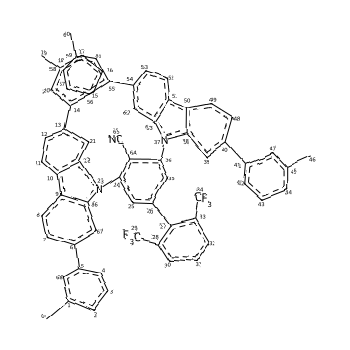 Cc1cccc(-c2ccc3c4ccc(-c5cccc(C)c5)cc4n(-c4cc(-c5c(C(F)(F)F)cccc5C(F)(F)F)cc(-n5c6cc(-c7cccc(C)c7)ccc6c6ccc(-c7cccc(C)c7)cc65)c4C#N)c3c2)c1